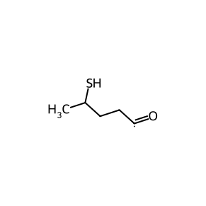 CC(S)CC[C]=O